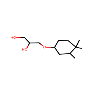 CC1CC(OCC(O)CO)CCC1(C)C